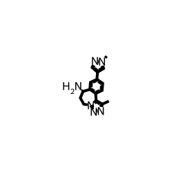 Cc1nnn2c1-c1ccc(-c3cnn(C)c3)cc1[C@H](N)CC2